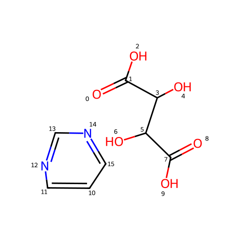 O=C(O)C(O)C(O)C(=O)O.c1cncnc1